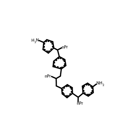 CCCC(Cc1ccc(C(CCC)c2ccc(N)cc2)cc1)Cc1ccc(C(CCC)c2ccc(N)cc2)cc1